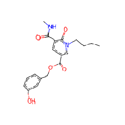 CCCCn1cc(C(=O)OCc2cccc(O)c2)cc(C(=O)NC)c1=O